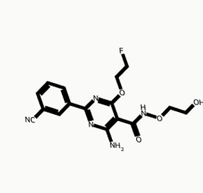 N#Cc1cccc(-c2nc(N)c(C(=O)NOCCO)c(OCCF)n2)c1